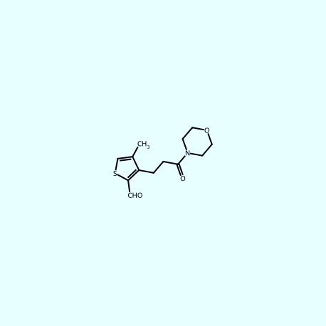 Cc1csc(C=O)c1CCC(=O)N1CCOCC1